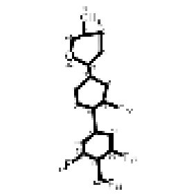 CC1CCC(C2CCC(C3CC(F)C(CF)C(F)C3)C(F)C2)OC1